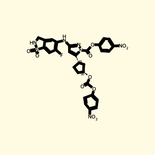 O=C(Oc1ccc([N+](=O)[O-])cc1)O[C@@H]1CC[C@H](c2cc(Nc3cc4c(cc3F)S(=O)(=O)NC4)nn2C(=O)Oc2ccc([N+](=O)[O-])cc2)C1